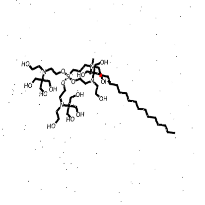 CCCCCCCCCCCCCCCCC[N+](C)(C)CCC[Si](OCCN(CCO)C(CO)(CO)CO)(OCCN(CCO)C(CO)(CO)CO)OCCN(CCO)C(CO)(CO)CO